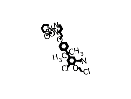 CC(C)(c1ccc(OCc2ccnc(N3CCCCS3(=O)=O)n2)cc1)c1cc(Cl)c(OCCCl)c(C#N)c1